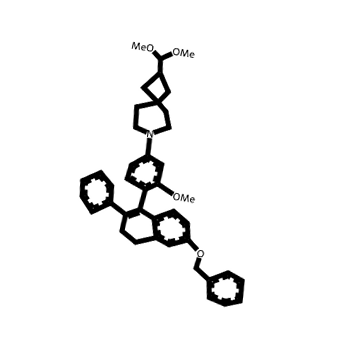 COc1cc(N2CCC3(CC2)CC(C(OC)OC)C3)ccc1C1=C(c2ccccc2)CCc2cc(OCc3ccccc3)ccc21